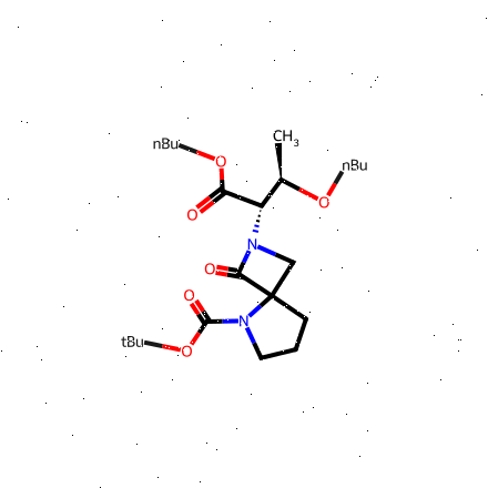 CCCCOC(=O)[C@H]([C@@H](C)OCCCC)N1CC2(CCCN2C(=O)OC(C)(C)C)C1=O